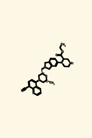 CCOC(=O)C1CNCCN1c1ccc2c(c1)CN(C[C@H]1CN(c3ccc(C#N)c4ncccc34)C[C@@H](C)O1)C2